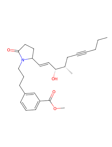 CCCC#CC[C@H](C)[C@H](O)C=CC1CCC(=O)N1CCCc1cccc(C(=O)OC)c1